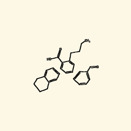 CCCCc1ccccc1C(=O)O.O=Cc1ccccc1.c1ccc2c(c1)CCCC2